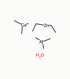 C[CH2][Zn][CH2]C.O.[CH3][Al]([CH3])[CH3].[CH3][Ga]([CH3])[CH3]